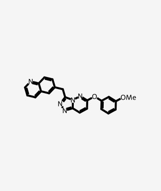 COc1cccc(Oc2ccc3nnc(Cc4ccc5ncccc5c4)n3n2)c1